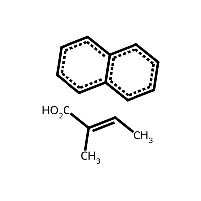 CC=C(C)C(=O)O.c1ccc2ccccc2c1